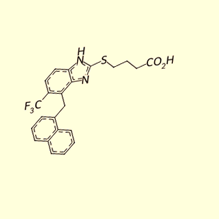 O=C(O)CCCSc1nc2c(Cc3cccc4ccccc34)c(C(F)(F)F)ccc2[nH]1